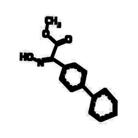 COC(=O)C(=NO)c1ccc(-c2ccccc2)cc1